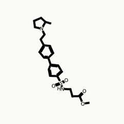 COC(=O)CCNS(=O)(=O)c1ccc(-c2ccc(CCN3CCCC3C)cc2)cc1